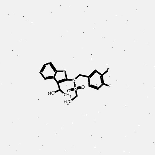 CCS(=O)(=O)N(Cc1ccc(F)c(F)c1)c1sc2ccccc2c1C(C)O